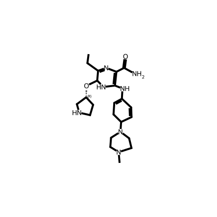 CCC1=NC(C(N)=O)=C(NC2=CCC(N3CCN(C)CC3)C=C2)NC1O[C@@H]1CCNC1